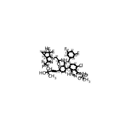 CC(C)(O)C#Cc1ccc(-c2ccc(Cl)c3c(NS(C)(=O)=O)n[nH]c23)c([C@H](Cc2cc(F)cc(F)c2)NC(=O)Cn2nc(C(F)(F)F)c3c2C(F)(F)[C@@H]2CC32)n1